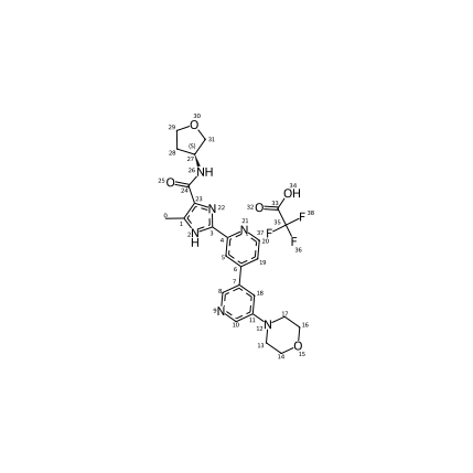 Cc1[nH]c(-c2cc(-c3cncc(N4CCOCC4)c3)ccn2)nc1C(=O)N[C@H]1CCOC1.O=C(O)C(F)(F)F